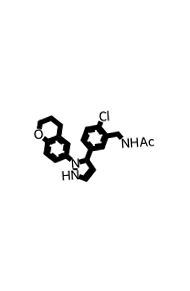 CC(=O)NCc1cc(C2C=CNN2c2ccc3c(c2)CCCO3)ccc1Cl